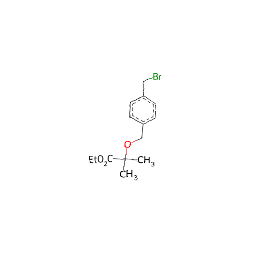 CCOC(=O)C(C)(C)OCc1ccc(CBr)cc1